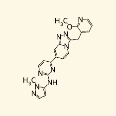 COc1ncccc1Cc1nnc2cc(-c3ccnc(Nc4ccnn4C)n3)ccn12